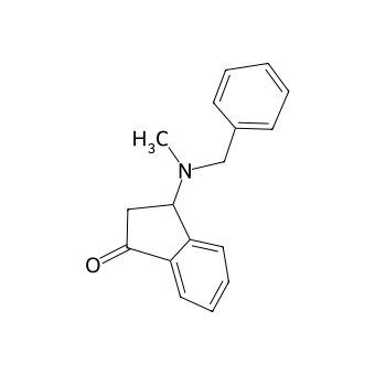 CN(Cc1ccccc1)C1CC(=O)c2ccccc21